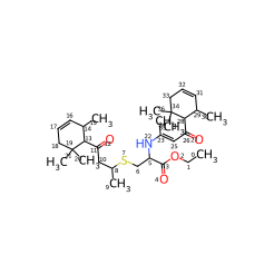 CCOC(=O)C(CSC(C)CC(=O)C1C(C)C=CCC1(C)C)NC(C)=CC(=O)C1C(C)C=CCC1(C)C